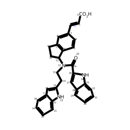 O=C(O)/C=C/c1ccc2c(c1)CCC2N(CCc1cc2ccccc2[nH]1)C(=O)c1cc2ccccc2[nH]1